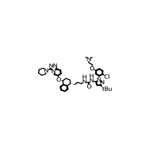 CN(C)CCOc1ccc(Cl)c(-n2nc(C(C)(C)C)cc2NC(=O)NCCC[C@H]2CC[C@@H](Oc3ccc4nnc(N5CCCCC5)n4c3)c3ccccc32)c1